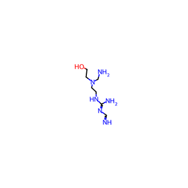 N=C/N=C(\N)NCCN(CN)CCO